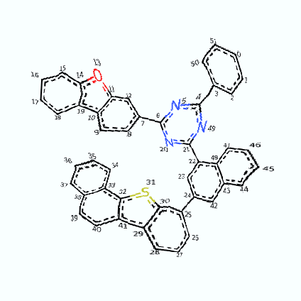 c1ccc(-c2nc(-c3ccc4c(c3)oc3ccccc34)nc(-c3cc(-c4cccc5c4sc4c6ccccc6ccc54)cc4ccccc34)n2)cc1